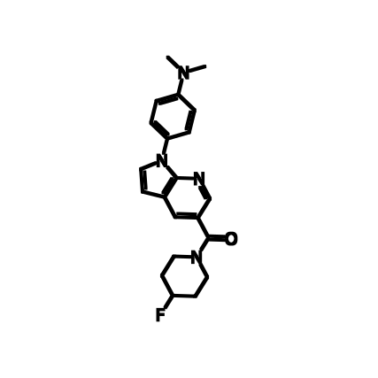 CN(C)c1ccc(-n2ccc3cc(C(=O)N4CCC(F)CC4)cnc32)cc1